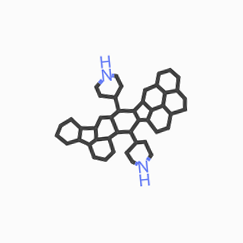 C1CC2CCC3CCC4C5C(CC(C1)C2C35)C1C(C2CCNCC2)C2CC3C5CCCCC5C5CCCC(C53)C2C(C2CCNCC2)C41